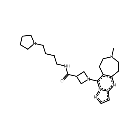 CN1CCc2nc3ccnn3c(N3CC(C(=O)NCCCCN4CCCC4)C3)c2CC1